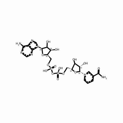 NC(=O)c1ccc[n+]([C@@H]2O[C@H](COP(=O)(O)OP(=O)(O)OC[C@H]3O[C@@H](n4cnc5c(N)ncnc54)C(O)[C@H]3O)C(O)[C@@H]2O)c1